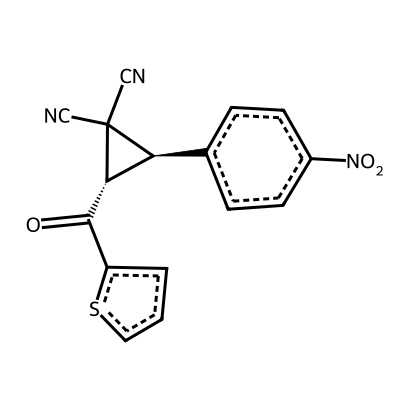 N#CC1(C#N)[C@@H](C(=O)c2cccs2)[C@@H]1c1ccc([N+](=O)[O-])cc1